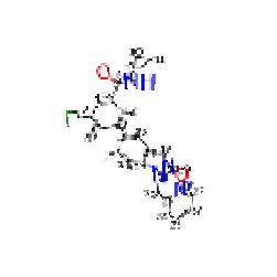 Cc1c(F)cc(C(=O)NC2CC2)cc1-c1ccc2c(cnn2Cc2cccc[n+]2[O-])c1